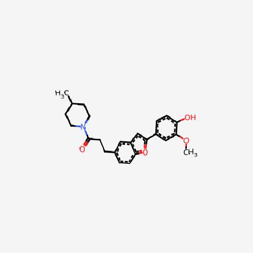 COc1cc(-c2cc3cc(CCC(=O)N4CCC(C)CC4)ccc3o2)ccc1O